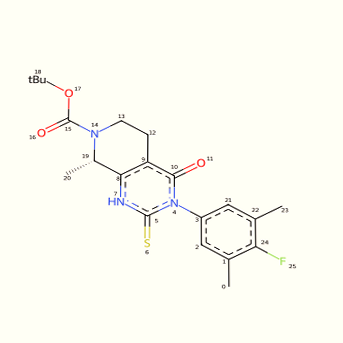 Cc1cc(-n2c(=S)[nH]c3c(c2=O)CCN(C(=O)OC(C)(C)C)[C@H]3C)cc(C)c1F